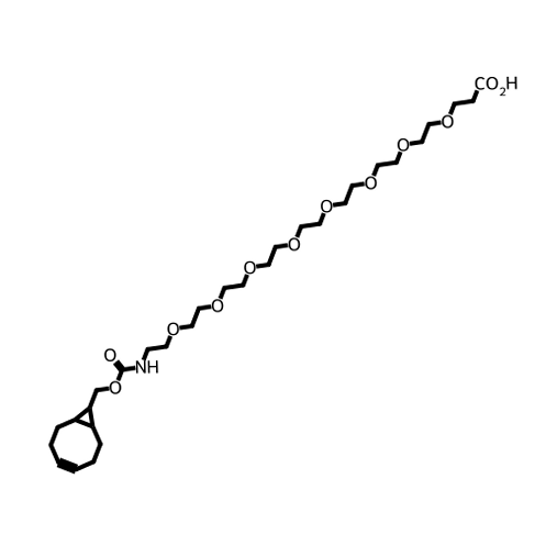 O=C(O)CCOCCOCCOCCOCCOCCOCCOCCOCCNC(=O)OCC1C2CCC#CCCC21